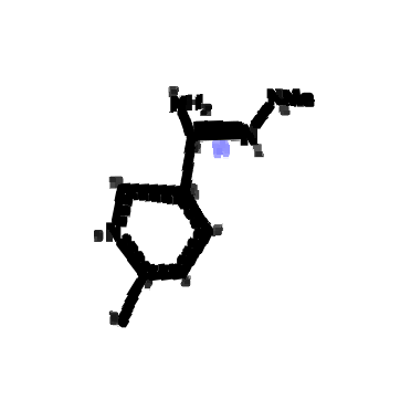 CN/N=C(\N)c1ccc(C)nc1